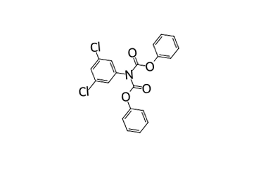 O=C(Oc1ccccc1)N(C(=O)Oc1ccccc1)c1cc(Cl)cc(Cl)c1